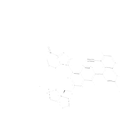 C#Cc1c(F)ccc2cc(O)cc(-c3ncc4c(-c5ccc6n5CCOC6=O)nc(OC[C@@]56CCCN5C[C@H](F)C6)nc4c3F)c12